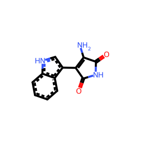 NC1=C(c2c[nH]c3ccccc23)C(=O)NC1=O